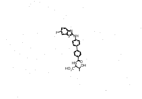 CC(O)[C@H](NC(=O)c1ccc(-c2ccc(Nc3nc4ccc(F)cc4s3)cc2)cc1)C(=O)O